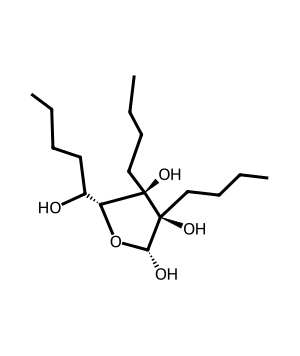 CCCCC(O)[C@H]1O[C@@H](O)[C@@](O)(CCCC)[C@@]1(O)CCCC